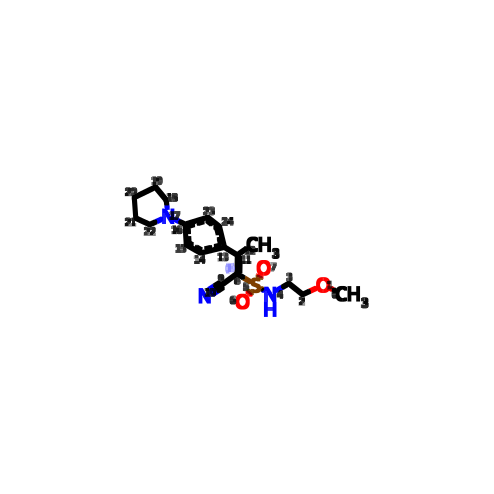 COCCNS(=O)(=O)/C(C#N)=C(\C)c1ccc(N2CCCCC2)cc1